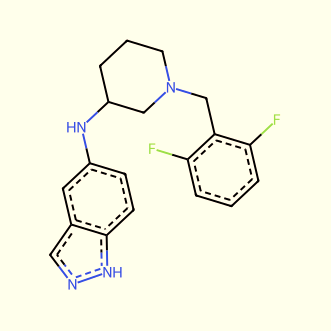 Fc1cccc(F)c1CN1CCCC(Nc2ccc3[nH]ncc3c2)C1